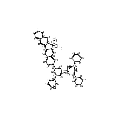 CC1(C)c2cc3ccccc3cc2-c2cc3ccc(-c4cc(-c5cccnc5)cc(-c5nc(-c6ccccc6)nc(-c6ccccc6)n5)c4)cc3cc21